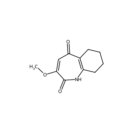 COc1cc(=O)c2c([nH]c1=O)CCCC2